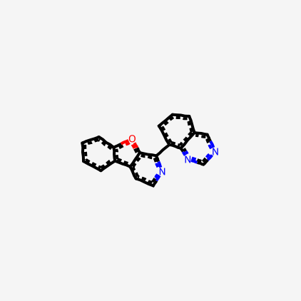 c1cc(-c2nccc3c2oc2ccccc23)c2ncncc2c1